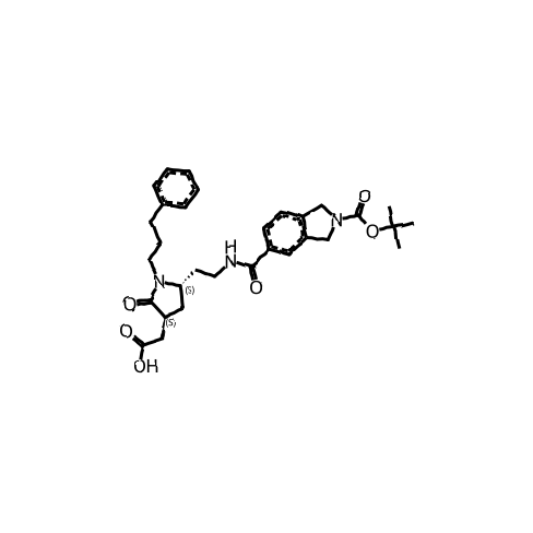 CC(C)(C)OC(=O)N1Cc2ccc(C(=O)NCC[C@@H]3C[C@@H](CC(=O)O)C(=O)N3CCCc3ccccc3)cc2C1